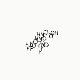 O=C(Nc1cccc(C(=O)O)c1)N[C@@](Cc1ccccc1)(c1cccc(OC(F)(F)C(F)F)c1)c1ccc(CI)cn1